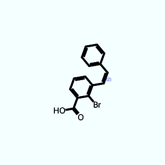 O=C(O)c1cccc(/C=C\c2ccccc2)c1Br